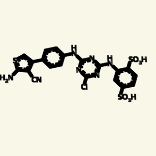 N#Cc1c(-c2ccc(Nc3nc(Cl)nc(Nc4cc(S(=O)(=O)O)ccc4S(=O)(=O)O)n3)cc2)csc1N